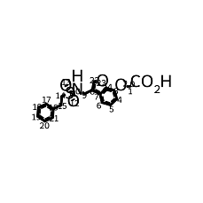 O=C(O)COc1cccc2c(CNS(=O)(=O)CCc3ccccc3)coc12